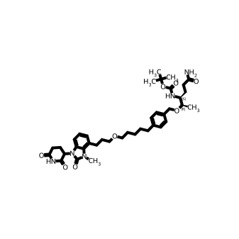 C[C@@H](OCc1ccc(CCCCCOCCCc2cccc3c2n(C)c(=O)n3C2CCC(=O)NC2=O)cc1)[C@H](CCC(N)=O)NC(=O)OC(C)(C)C